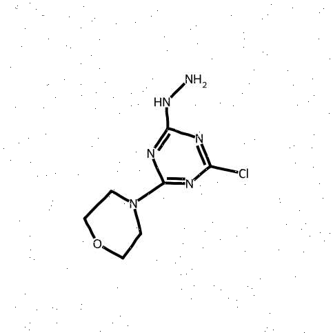 NNc1nc(Cl)nc(N2CCOCC2)n1